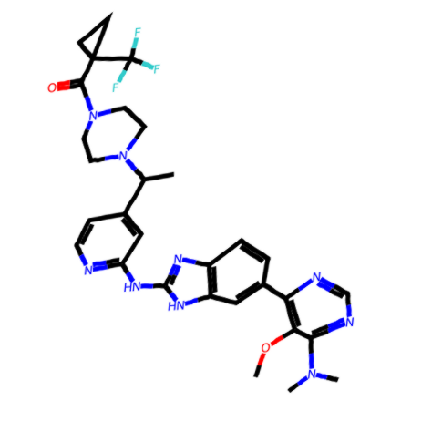 COc1c(-c2ccc3nc(Nc4cc(C(C)N5CCN(C(=O)C6(C(F)(F)F)CC6)CC5)ccn4)[nH]c3c2)ncnc1N(C)C